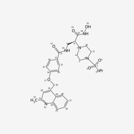 CCCS(=O)(=O)N1CCN([C@@H](CNC(=O)c2ccc(OCc3cc(C)nc4ccccc34)cc2)C(=O)NO)CC1